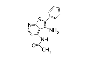 CC(=O)Nc1ccnc2sc(-c3ccccc3)c(N)c12